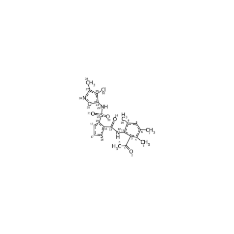 CC(=O)c1c(C)c(C)cc(C)c1NC(=O)c1sccc1S(=O)(=O)Nc1onc(C)c1Cl